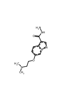 CN(C)CCOc1ccc2c(C(=O)NN)cnn2c1